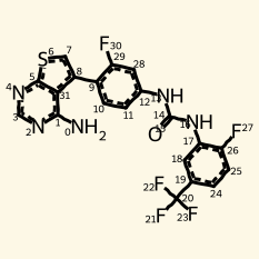 Nc1ncnc2scc(-c3ccc(NC(=O)Nc4cc(C(F)(F)F)ccc4F)cc3F)c12